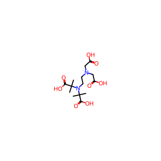 CC(C)(C(=O)O)N(CCN(CC(=O)O)CC(=O)O)C(C)(C)C(=O)O